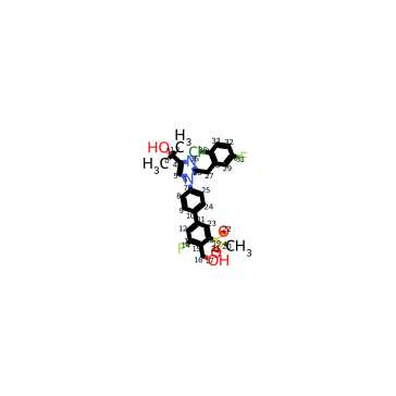 CC(C)(O)c1cn(-c2ccc(-c3cc(F)c(CO)c(S(C)(=O)=O)c3)cc2)c(Cc2cc(F)ccc2Cl)n1